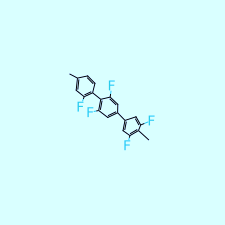 Cc1ccc(-c2c(F)cc(-c3cc(F)c(C)c(F)c3)cc2F)c(F)c1